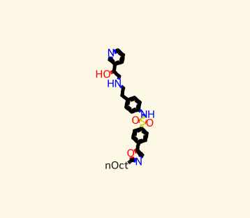 CCCCCCCCc1ncc(-c2ccc(S(=O)(=O)Nc3ccc(CCNCC(O)c4cccnc4)cc3)cc2)o1